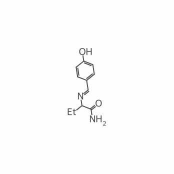 CCC(/N=C/c1ccc(O)cc1)C(N)=O